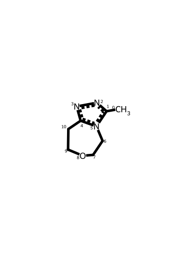 Cc1nnc2n1CCOCC2